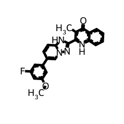 COc1cc(F)cc(C2=CN3N=C(c4[nH]c5ccccc5c(=O)c4C)NC3C=C2)c1